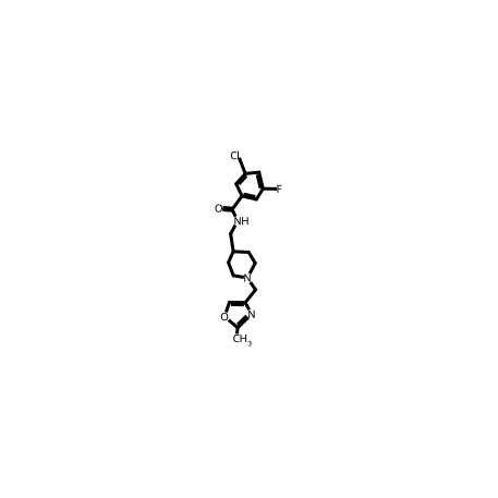 Cc1nc(CN2CCC(CNC(=O)c3cc(F)cc(Cl)c3)CC2)co1